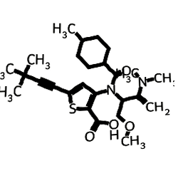 C=C(C(COC)N(C(=O)C1CCC(C)CC1)c1cc(C#CC(C)(C)C)sc1C(=O)O)N(C)C